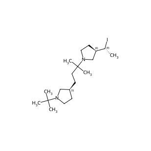 C[C@@H](I)[C@@H]1CCN(C(C)(C)CC[C@H]2CCN(C(C)(C)C)C2)C1